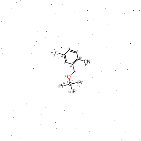 CC(C)[Si](OCc1cc(C(F)(F)F)ccc1C#N)(C(C)C)C(C)C